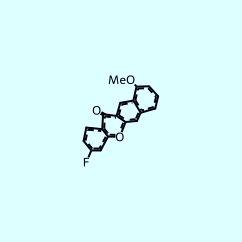 COc1cccc2cc3oc4cc(F)ccc4c(=O)c3cc12